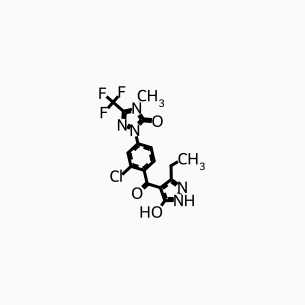 CCc1n[nH]c(O)c1C(=O)c1ccc(-n2nc(C(F)(F)F)n(C)c2=O)cc1Cl